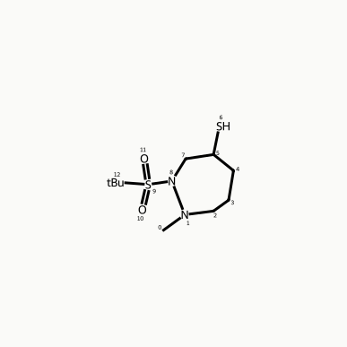 CN1CCCC(S)CN1S(=O)(=O)C(C)(C)C